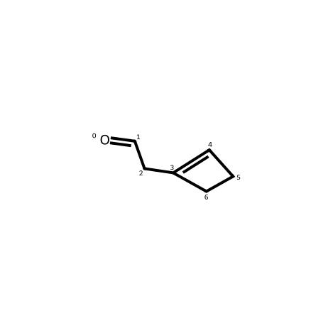 O=CCC1=CCC1